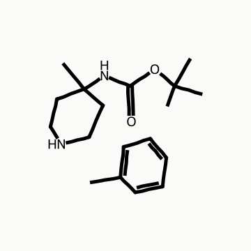 CC1(NC(=O)OC(C)(C)C)CCNCC1.Cc1ccccc1